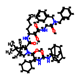 C=CCCC(NC(=O)[C@@H]1[C@@H]2[C@H](CN1C(=O)[C@@H](NC(=O)NC13CC4CC(CC(C4)C1)C3)C1CCCCC1)C2(C)C)C(=O)C(=O)NCC(=O)N(Cc1ccccc1)Cc1ccccc1